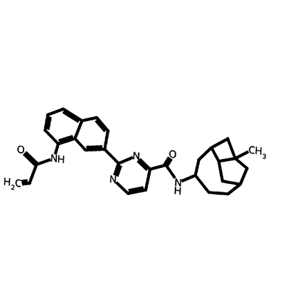 C=CC(=O)Nc1cccc2ccc(-c3nccc(C(=O)NC4CCC5CC6C(C4)CC6(C)C5)n3)cc12